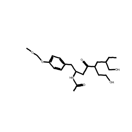 CCC(CO)CC(CCO)C(=O)CC(Cc1ccc(OCOC)cc1)NC(C)=O